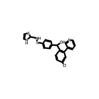 OC(c1ccc(SNC2NC=CS2)cc1)c1ccc(Cl)cc1-c1cccnc1